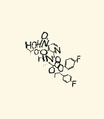 CC(C)C(O)OCOc1c(NC=O)ccnc1C(=O)N[C@@H](C)C(=O)OC(C)C(Oc1ccc(F)cc1)c1ccc(F)cc1